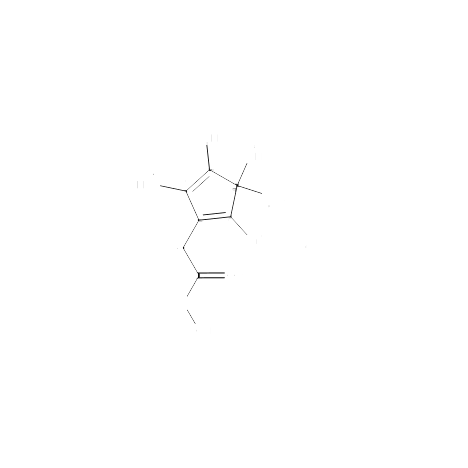 COC(=O)CC1=[C]([Ti+3])C(C)(C)C(C)=C1C.[Cl-].[Cl-].[Cl-]